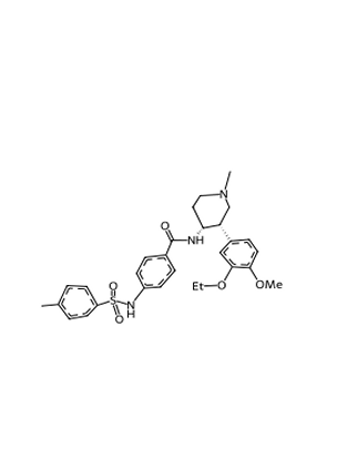 CCOc1cc([C@H]2CN(C)CC[C@H]2NC(=O)c2ccc(NS(=O)(=O)c3ccc(C)cc3)cc2)ccc1OC